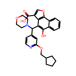 O=C(O)c1coc2c1c(C(c1ccnc(OCC3CCCC3)c1)N1CCOCC1)c(O)c1ccccc12